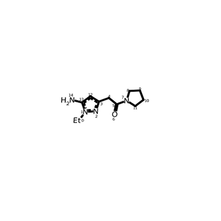 CCn1nc(CC(=O)N2CCCC2)cc1N